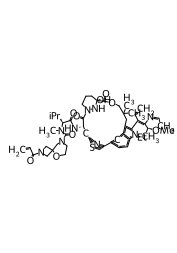 C=CC(=O)N1CC2(C1)CN(C(=O)N(C)[C@H](C(=O)N[C@H]1Cc3nc(cs3)-c3ccc4c(c3)c(c(/C(C=C)=C(/N=C\C)[C@H](C)OC)n4CC)CC(C)(C)COC(=O)[C@@]3(O)CCCN(N3)C1=O)C(C)C)CCO2